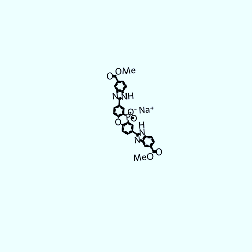 COC(=O)c1ccc2[nH]c(-c3ccc4c(c3)P(=O)([O-])c3cc(-c5nc6cc(C(=O)OC)ccc6[nH]5)ccc3O4)nc2c1.[Na+]